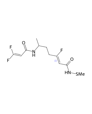 CSNC(=O)/C=C(\F)CCC(C)NC(=O)C=C(F)F